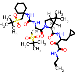 C=CCNC(=O)C(=O)C(CC1CC1)NC(=O)[C@@H]1[C@@H]2[C@H](CN1C(=O)[C@H](CS(=O)(=O)C(C)(C)C)NC(=O)NC1(CS(=O)(=O)C(C)(C)C)CCCCC1)C2(C)C